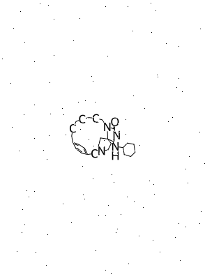 O=C1N=C(NC2CCCCC2)C23CCN(CC2)Cc2ccc(cc2)CCCCCCCN13